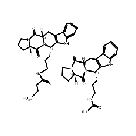 CCCC(=O)NCCC[C@H]1c2[nH]c3ccccc3c2C[C@H]2C(=O)N3CCC[C@H]3C(=O)N21.O=C(O)CCC(=O)NCCC[C@H]1c2[nH]c3ccccc3c2C[C@H]2C(=O)N3CCC[C@H]3C(=O)N21